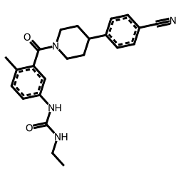 CCNC(=O)Nc1ccc(C)c(C(=O)N2CCC(c3ccc(C#N)cc3)CC2)c1